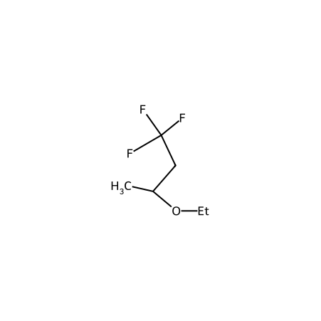 [CH2]COC(C)CC(F)(F)F